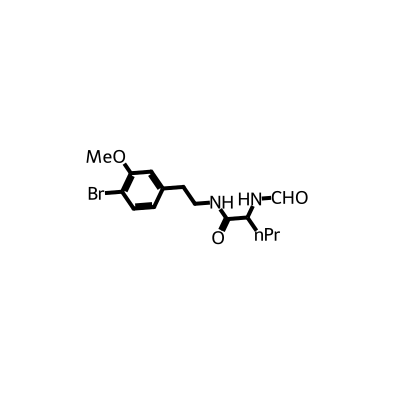 CCCC(NC=O)C(=O)NCCc1ccc(Br)c(OC)c1